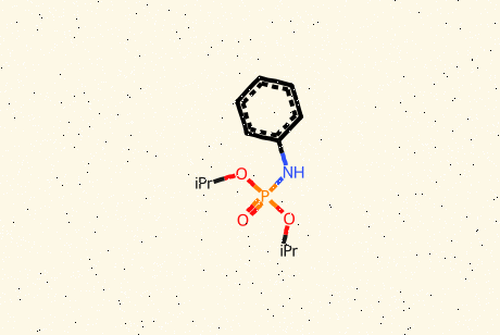 CC(C)OP(=O)(Nc1ccccc1)OC(C)C